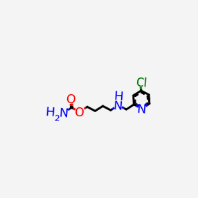 NC(=O)OCCCCNCc1cc(Cl)ccn1